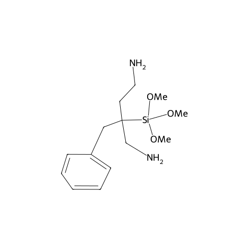 CO[Si](OC)(OC)C(CN)(CCN)Cc1ccccc1